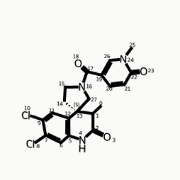 CC1C(=O)Nc2cc(Cl)c(Cl)cc2[C@]12CCN(C(=O)c1ccc(=O)n(C)c1)C2